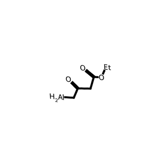 CCOC(=O)CC(=O)[CH2][AlH2]